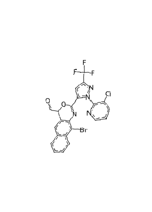 O=CC1OC(c2cc(C(F)(F)F)nn2-c2ncccc2Cl)=Nc2c1cc1ccccc1c2Br